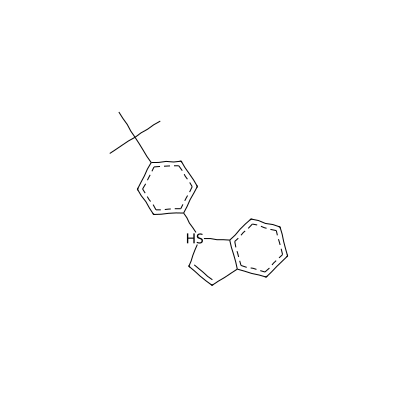 CC(C)(C)c1ccc([SH]2C=Cc3ccccc32)cc1